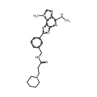 CNc1nc2oc(-c3cccc(CNC(=O)CCN4CCCCC4)c3)nc2c2c1ncn2C